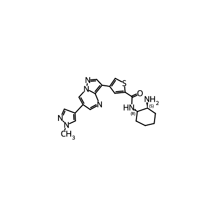 Cn1cc(-c2cnc3c(-c4csc(C(=O)N[C@@H]5CCCC[C@@H]5N)c4)cnn3c2)cn1